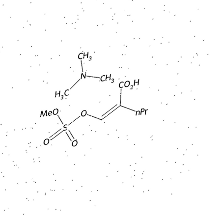 CCCC(=COS(=O)(=O)OC)C(=O)O.CN(C)C